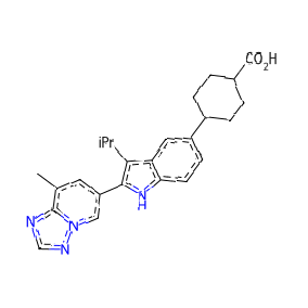 Cc1cc(-c2[nH]c3ccc(C4CCC(C(=O)O)CC4)cc3c2C(C)C)cn2ncnc12